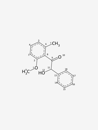 COc1cccc(C)c1C(=O)C(O)c1ccccc1